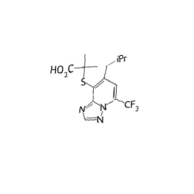 CC(C)Cc1cc(C(F)(F)F)n2ncnc2c1SC(C)(C)C(=O)O